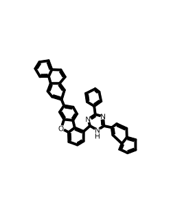 c1ccc(C2=NC(c3cccc4oc5cc(-c6ccc7c(ccc8ccccc87)c6)ccc5c34)NC(c3ccc4ccccc4c3)=N2)cc1